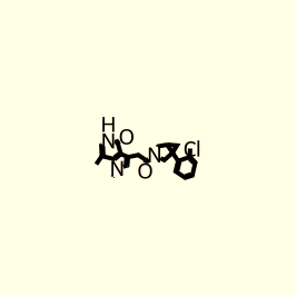 Cc1c[nH]c(=O)c2c(CC(=O)N3CC4CC4(c4ccccc4Cl)C3)cn(C)c12